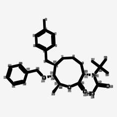 Cc1ccc(C[C@H]2CCC[C@H](N(C(=O)O)C(C)(C)C)C(=O)O[C@@H](C)[C@@H]2OCc2ccccc2)cc1